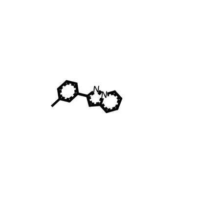 Cc1cccc(-c2cc3ccccn3n2)c1